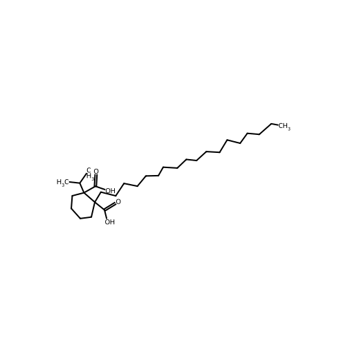 CCCCCCCCCCCCCCCCCCC1(C(=O)O)CCCCC1(C(=O)O)C(C)C